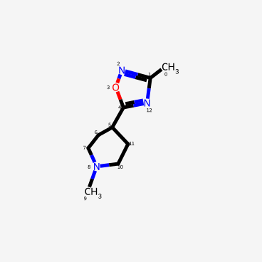 Cc1noc(C2CCN(C)CC2)n1